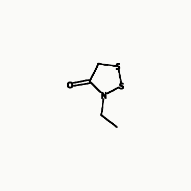 CCN1SSCC1=O